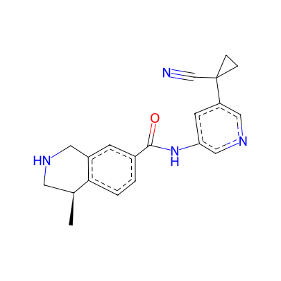 C[C@H]1CNCc2cc(C(=O)Nc3cncc(C4(C#N)CC4)c3)ccc21